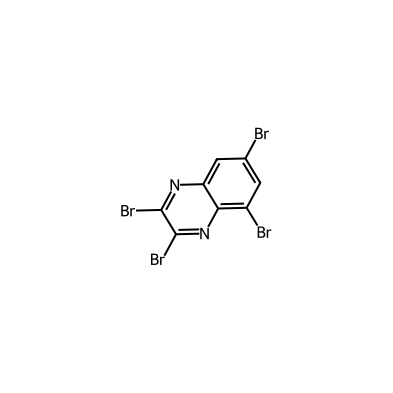 Brc1cc(Br)c2nc(Br)c(Br)nc2c1